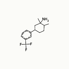 CC1CCC(c2cccc(C(F)(F)F)c2)CC1(C)N